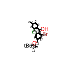 Cc1ccc(C(O)c2ccc(CO[Si](C)(C)C(C)(C)C)cc2Br)c(Cl)c1